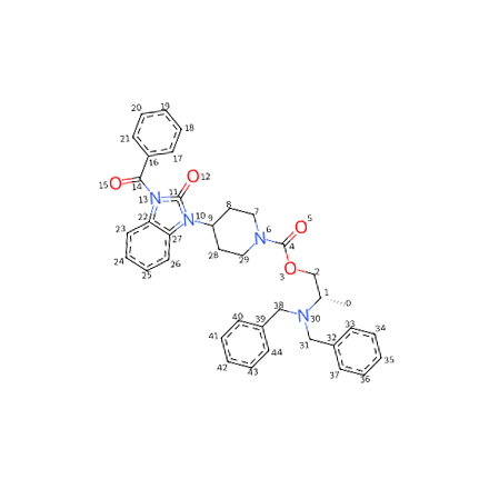 C[C@@H](COC(=O)N1CCC(n2c(=O)n(C(=O)c3ccccc3)c3ccccc32)CC1)N(Cc1ccccc1)Cc1ccccc1